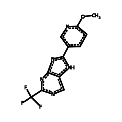 COc1ccc(-c2nc3nc(C(F)(F)F)ncc3[nH]2)cn1